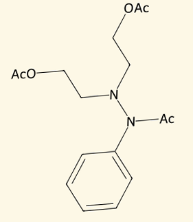 CC(=O)OCCN(CCOC(C)=O)N(C(C)=O)c1ccccc1